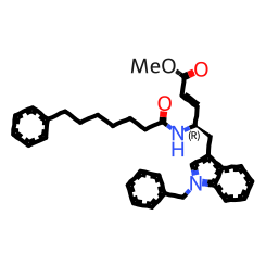 COC(=O)C=C[C@@H](Cc1cn(Cc2ccccc2)c2ccccc12)NC(=O)CCCCCCc1ccccc1